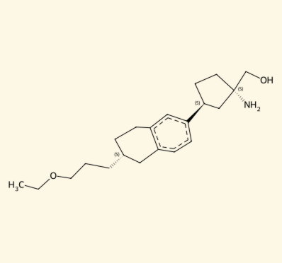 CCOCCC[C@@H]1CCc2cc([C@H]3CC[C@@](N)(CO)C3)ccc2C1